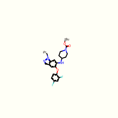 CC(C)Cn1ncc2cc(Oc3ccc(F)cc3F)c(NC3CCN(C(=O)OC(C)(C)C)CC3)cc21